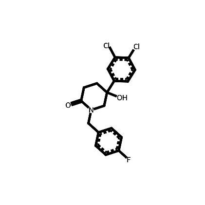 O=C1CCC(O)(c2ccc(Cl)c(Cl)c2)CN1Cc1ccc(F)cc1